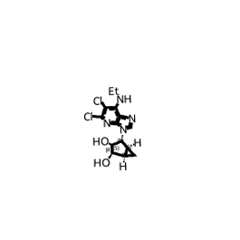 CCNc1c(Cl)c(Cl)nc2c1ncn2[C@H]1[C@H](O)[C@H](O)[C@@H]2C[C@@H]21